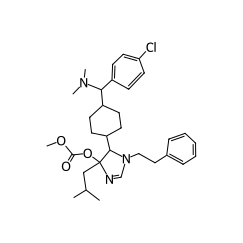 COC(=O)OC1(CC(C)C)N=CN(CCc2ccccc2)C1C1CCC(C(c2ccc(Cl)cc2)N(C)C)CC1